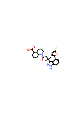 CC(C)(CC(=O)N1CCCC2C(C(=O)O)CCCC21)c1n[nH]c2cccc(-c3ccc(F)o3)c12